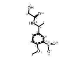 COc1ccc(C(C)NC(=O)CO)cc1[N+](=O)[O-]